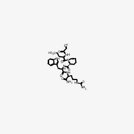 NC(=O)NCCCC(NC(=O)C(Cc1c[nH]c2ccccc12)NC(=O)[C@@H]1CCCCN1C(=O)C(CCC(=O)O)NC(=O)CCl)C(N)=O